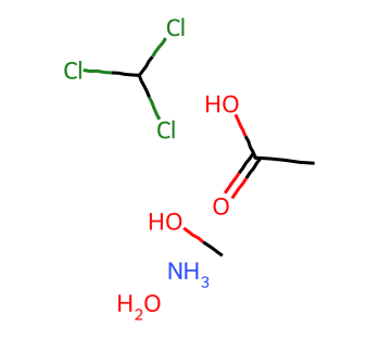 CC(=O)O.CO.ClC(Cl)Cl.N.O